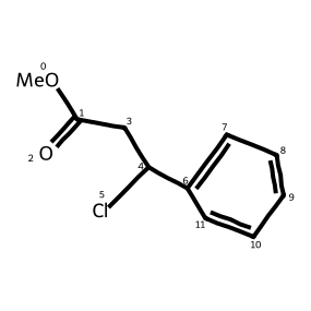 COC(=O)CC(Cl)c1ccccc1